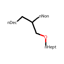 CCCCCCCCCCCC(CCCCCCCCC)COCCCCCCC